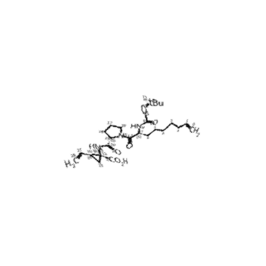 C=CCCCCC[C@H](NC(=O)OC(C)(C)C)C(=O)N1CCC[C@H]1C(=O)N[C@]1(C(=O)O)C[C@H]1C=C